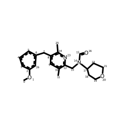 COc1cccc(Cc2cc(C)c(CN(C=O)C3CCOCC3)nc2C)c1